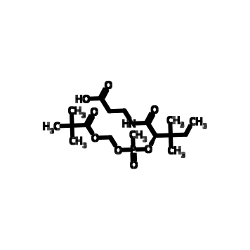 CCC(C)(C)[C@@H](OP(C)(=O)OCOC(=O)C(C)(C)C)C(=O)NCCC(=O)O